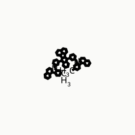 Cc1ccc2c3c4ccccc4ccc3n(-c3cccc(-c4c5c(c(-c6cccc(-n7c8cc(C)ccc8c8c9ccccc9ccc87)c6)c6ccccc46)-c4cccc6cccc-5c46)c3)c2c1